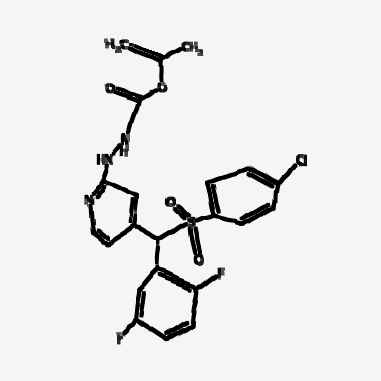 C=C(C)OC(=O)NNc1cc(C(c2cc(F)ccc2F)S(=O)(=O)c2ccc(Cl)cc2)ccn1